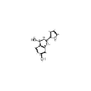 Oc1ccc2c(c1)OC(c1ccco1)CC2O